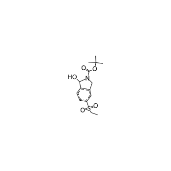 CCS(=O)(=O)c1ccc2c(c1)CN(C(=O)OC(C)(C)C)C2O